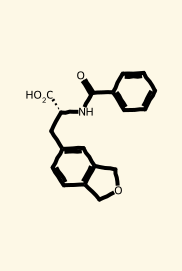 O=C(N[C@H](Cc1ccc2c(c1)COC2)C(=O)O)c1ccccc1